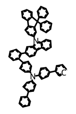 c1ccc(-c2ccc(N(c3ccc(-c4ccccc4)cc3)c3ccc(-c4ccccc4-c4ccc5c6ccccc6n(-c6ccc7c(c6)C(c6ccccc6)(c6ccccc6)c6ccccc6-7)c5c4)cc3)cc2)cc1